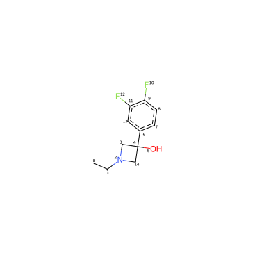 CCN1CC(O)(c2ccc(F)c(F)c2)C1